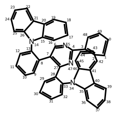 c1ccc(-c2ncc(-c3ccccc3-n3c4ccccc4c4ccccc43)c(-c3ccccc3-n3c4ccccc4c4ccccc43)n2)cc1